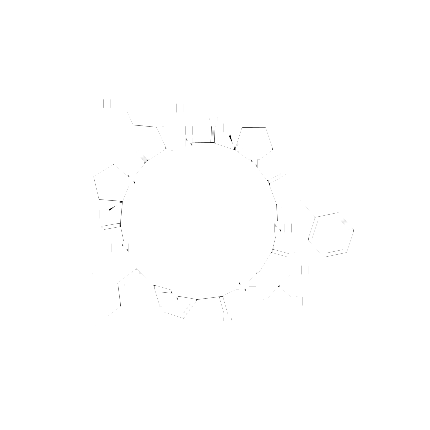 CC[C@H](C)[C@@H]1NC(=O)[C@@H]2CCCN2C(=O)[C@H](Cc2ccccc2)NC(=O)[C@H](C(C)(C)C)NC(=O)c2csc(n2)[C@H]([C@@H](C)CC)NC(=O)[C@@H]2CCCN2C1=O